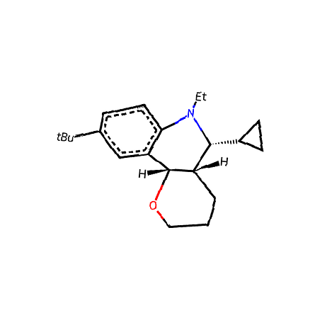 CCN1c2ccc(C(C)(C)C)cc2[C@H]2OCCC[C@H]2[C@H]1C1CC1